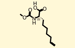 C=CCCCCC[C@H](NC(=O)OC)C(=O)O